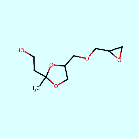 CC1(CCO)OCC(COCC2CO2)O1